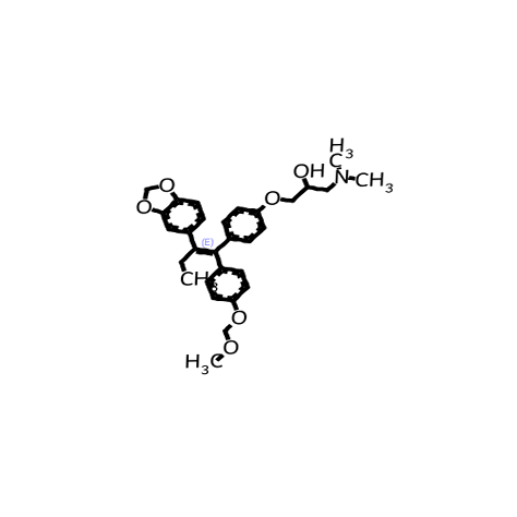 CC/C(=C(\c1ccc(OCOC)cc1)c1ccc(OCC(O)CN(C)C)cc1)c1ccc2c(c1)OCO2